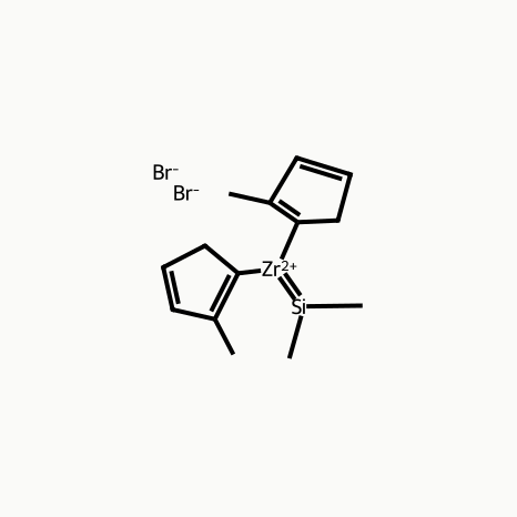 CC1=[C]([Zr+2]([C]2=C(C)C=CC2)=[Si](C)C)CC=C1.[Br-].[Br-]